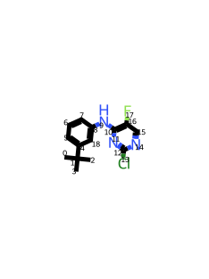 CC(C)(C)c1cccc(Nc2nc(Cl)ncc2F)c1